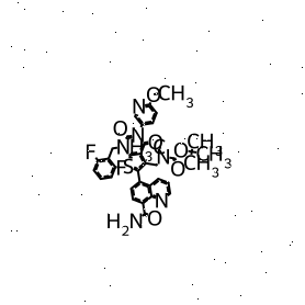 COc1ccc(-n2c(=O)c3c(CN(C)C(=O)OC(C)(C)C)c(-c4ccc(C(N)=O)c5ncccc45)sc3n(Cc3c(F)cccc3F)c2=O)cn1